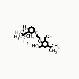 CC(C)C1CC(CO)C(OCCO[C@H]2CCCC(C(C)(C)C(C)(C)C)C2)C(CO)C1